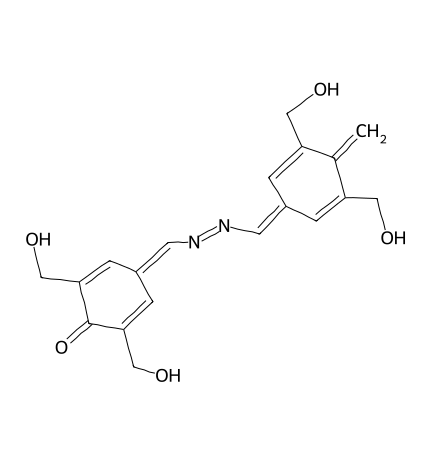 C=c1c(CO)cc(=CN=NC=C2C=C(CO)C(=O)C(CO)=C2)cc1CO